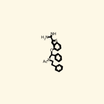 CC(=O)N(CCc1ccccc1)CC(Oc1cccc2sc(C(=N)N)cc12)c1ccccc1